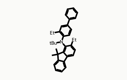 CCc1cc(-c2ccccc2)ccc1N(c1c(CC)ccc2c1C(C)(C)c1ccccc1-2)C(C)(C)C